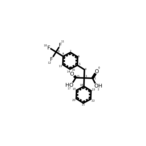 O=C(O)C(Cc1ccc(C(F)(F)F)cc1)(C(=O)O)c1ccccc1